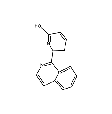 Oc1cccc(-c2nccc3ccccc23)n1